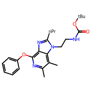 CCCc1nc2c(Oc3ccccc3)nc(C)c(C)c2n1CCNC(=O)OC(C)(C)C